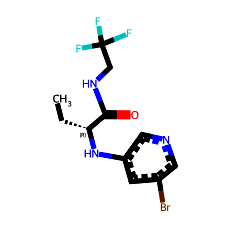 CC[C@@H](Nc1cncc(Br)c1)C(=O)NCC(F)(F)F